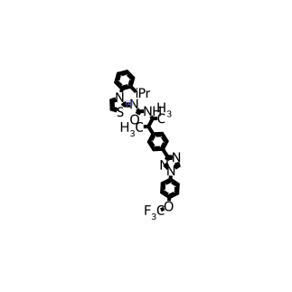 CC(C)c1ccccc1-n1ccs/c1=N\C(=O)NC(C)C(C)c1ccc(-c2ncn(-c3ccc(OC(F)(F)F)cc3)n2)cc1